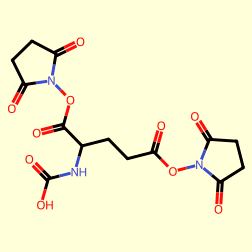 O=C(O)NC(CCC(=O)ON1C(=O)CCC1=O)C(=O)ON1C(=O)CCC1=O